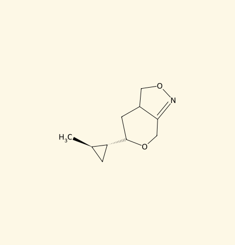 C[C@@H]1C[C@H]1C1CC2CON=C2CO1